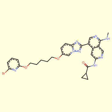 CNc1ncc(-c2nc3ccc(OCCCCCOc4cccc(Br)n4)cn3n2)c2cc(NC(=O)C3CC3)ncc12